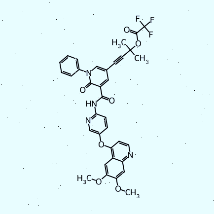 COc1cc2nccc(Oc3ccc(NC(=O)c4cc(C#CC(C)(C)OC(=O)C(F)(F)F)cn(-c5ccccc5)c4=O)nc3)c2cc1OC